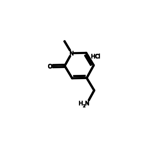 Cl.Cn1ccc(CN)cc1=O